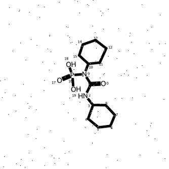 O=C(NC1CCCCC1)N(C1CCCCC1)P(=O)(O)O